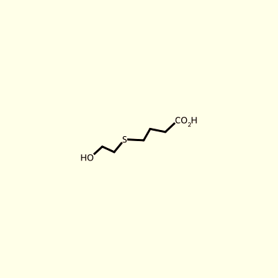 O=C(O)CCCSCCO